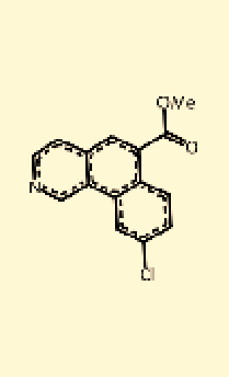 COC(=O)c1cc2ccncc2c2cc(Cl)ccc12